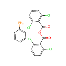 O=C(OC(=O)c1c(Cl)cccc1Cl)c1c(Cl)cccc1Cl.Pc1ccccc1